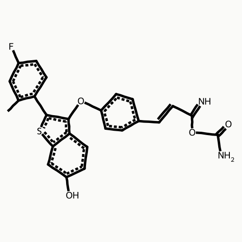 Cc1cc(F)ccc1-c1sc2cc(O)ccc2c1Oc1ccc(/C=C/C(=N)OC(N)=O)cc1